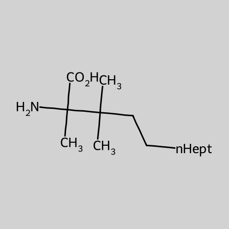 CCCCCCCCCC(C)(C)C(C)(N)C(=O)O